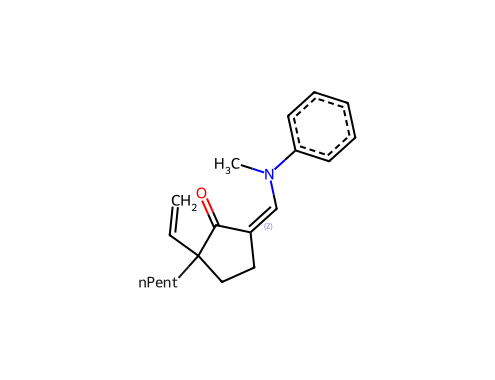 C=CC1(CCCCC)CC/C(=C/N(C)c2ccccc2)C1=O